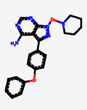 Nc1ncnc2c1c(-c1ccc(Oc3ccccc3)cc1)nn2ON1CCCCC1